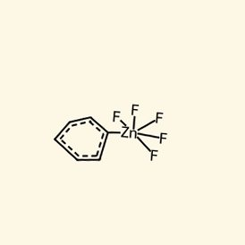 [F][Zn]([F])([F])([F])([F])[c]1ccccc1